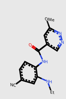 CCNc1cc(C#N)ccc1NC(=O)c1cnnc(OC)c1